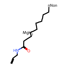 C=CCNC(=O)CCCCCCCCCCCCCCCCC.[MgH2]